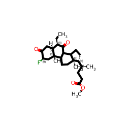 CC[C@H]1C(=O)C2C3CC[C@H]([C@H](C)CCC(=O)OC)[C@@]3(C)CCC2[C@@]2(C)C[C@@H](F)C(=O)C[C@@H]12